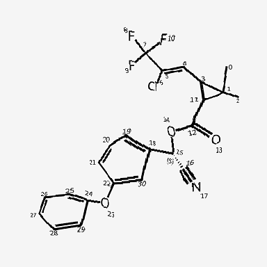 CC1(C)C(C=C(Cl)C(F)(F)F)C1C(=O)O[C@H](C#N)c1cccc(Oc2ccccc2)c1